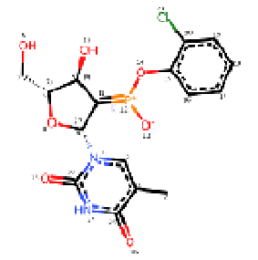 Cc1cn([C@@H]2O[C@H](CO)[C@@H](O)/C2=[P+](/[O-])Oc2ccccc2Cl)c(=O)[nH]c1=O